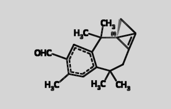 Cc1cc2c(cc1C=O)C(C)(C)[C@@]13CC1=C3CC2(C)C